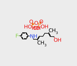 CC(=CCO)CCC=C(C)CNc1ccc(F)cc1.O=P(O)(O)OP(=O)(O)O